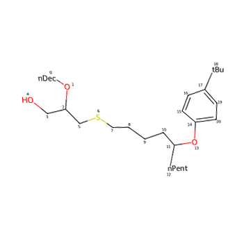 CCCCCCCCCCOC(CO)CSCCCCC(CCCCC)Oc1ccc(C(C)(C)C)cc1